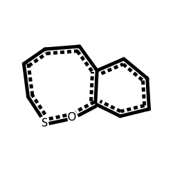 c1ccc2ccccc2osc1